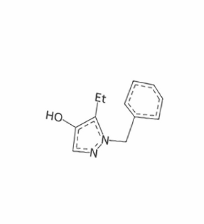 CCc1c(O)cnn1Cc1ccccc1